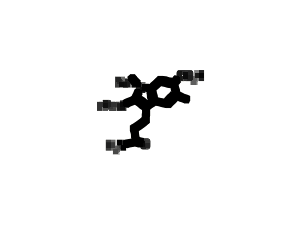 CCCCCc1c(CCC(N)=O)c2cc(C)c(C(=O)O)cc2n1C.[NaH]